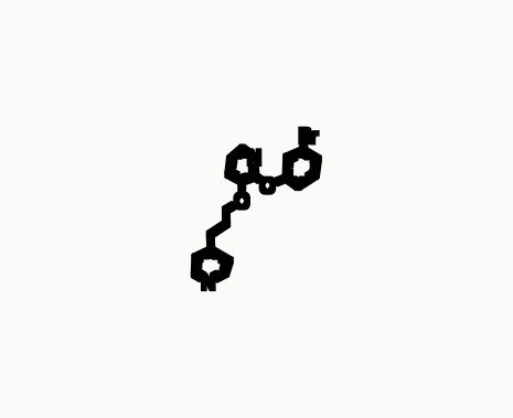 Brc1cccc(Oc2ncccc2OCCCc2ccncc2)c1